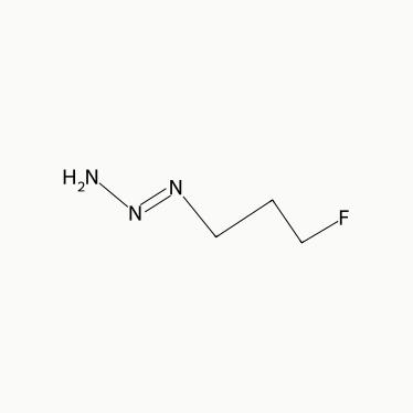 NN=NCCCF